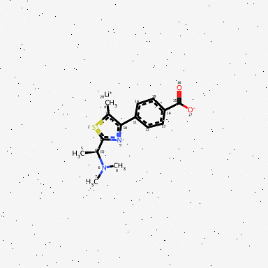 Cc1sc([C@H](C)N(C)C)nc1-c1ccc(C(=O)[O-])cc1.[Li+]